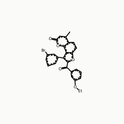 CCOc1cccc(C(=O)c2oc3ccc4c(C)cc(=O)oc4c3c2-c2cccc(Br)c2)c1